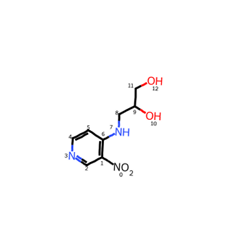 O=[N+]([O-])c1cnccc1NCC(O)CO